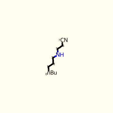 CCCCCCCNCCC#N